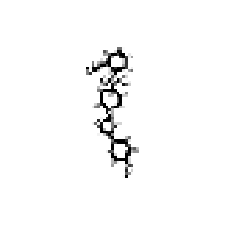 COc1ccc(-c2csc(N3CCC(S(=O)(=O)c4ccccc4C#N)CC3)n2)cc1